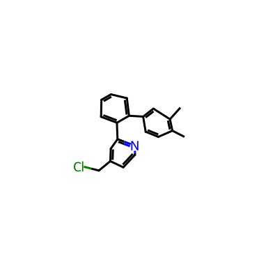 Cc1ccc(-c2ccccc2-c2cc(CCl)ccn2)cc1C